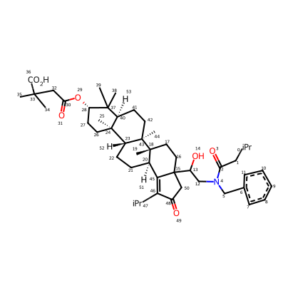 CC(C)CC(=O)N(Cc1ccccc1)CC(O)C12CC[C@]3(C)[C@H](CC[C@@H]4[C@@]5(C)CC[C@H](OC(=O)CC(C)(C)C(=O)O)C(C)(C)[C@H]5CC[C@]43C)C1=C(C(C)C)C(=O)C2